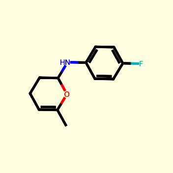 CC1=CCCC(Nc2ccc(F)cc2)O1